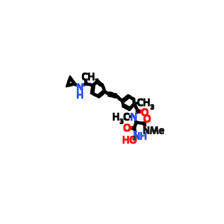 CNC(=O)C(C(=O)NO)N(C)C(=O)[C@]1(C)C=CC(C#Cc2ccc(C(C)NC3CC3)cc2)=CC1